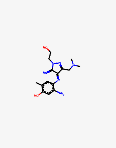 Cc1cc(N=C2C(=N)N(CCO)N=C2CN(C)C)c(N)cc1O